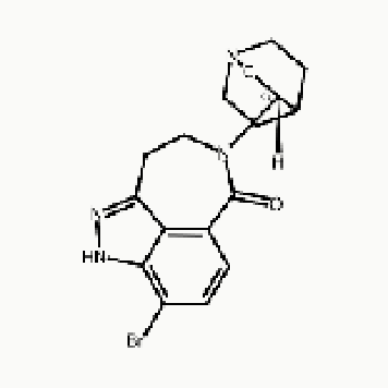 O=C1c2ccc(Br)c3[nH]nc(c23)CCN1[C@@H]1CN2CCC1CC2